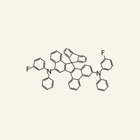 Fc1cccc(N(c2ccccc2)c2ccc3c4c(c5ccccc5c3c2)-c2cc(N(c3ccccc3)c3cccc(F)c3)c3ccccc3c2C42c3ccccc3-c3ccccc32)c1